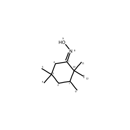 CC1CC(C)(C)C/C(=N\O)C1(C)I